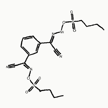 CCCCS(=O)(=O)ON=C(C#N)c1cccc(C(C#N)=NNOS(=O)(=O)CCCC)c1